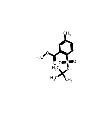 COC(=O)c1cc(C)ccc1S(=O)(=O)NC(C)(C)C